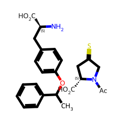 CC(=O)N1CC(=S)C[C@H]1C(=O)O.CC(Oc1ccc(C[C@H](N)C(=O)O)cc1)c1ccccc1